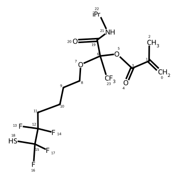 C=C(C)C(=O)OC(OCCCCC(F)(F)C(F)(F)S)(C(=O)NC(C)C)C(F)(F)F